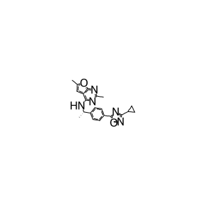 Cc1nc(N[C@@H](C)c2ccc(-c3nc(C4CC4)no3)cc2)c2cc(C)oc2n1